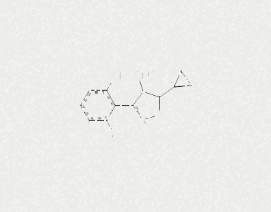 O=CC1C(c2c(Cl)cccc2Cl)=NOC1C1CC1